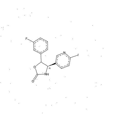 O=C1N[C@H](c2ccc(I)nc2)C(c2cccc(F)c2)O1